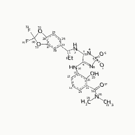 CCC(NC1=NS(=O)(=O)N=C1Nc1cccc(C(=O)N(C)C)c1O)c1ccc2c(c1)OC(F)(F)O2